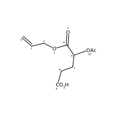 C=CCOC(=O)C(CCC(=O)O)OC(C)=O